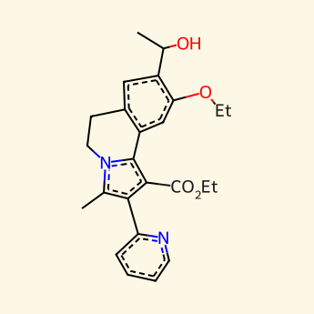 CCOC(=O)c1c(-c2ccccn2)c(C)n2c1-c1cc(OCC)c(C(C)O)cc1CC2